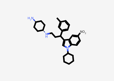 Cc1cccc(C(CCN[C@H]2CC[C@H](N)CC2)c2cn(C3CCCCC3)c3ccc([N+](=O)[O-])cc23)c1